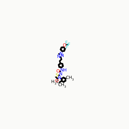 Cc1ccc(C(C)C)c(N2C(=O)CS/C2=N\C(=O)Nc2ccc(CCc3ncn(-c4ccc(OC(F)(F)F)cc4)n3)cc2)c1